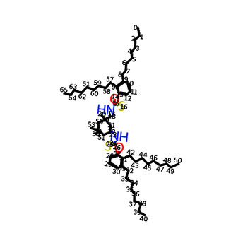 CCCCCCCCCc1cccc(OC(=S)NCC2(C)CC(NC(=S)Oc3cccc(CCCCCCCCC)c3CCCCCCCCC)CC(C)(C)C2)c1CCCCCCCCC